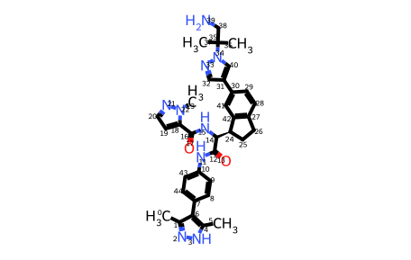 Cc1n[nH]c(C)c1-c1ccc(NC(=O)C(NC(=O)c2ccnn2C)[C@@H]2CCc3ccc(-c4cnn(C(C)(C)CN)c4)cc32)cc1